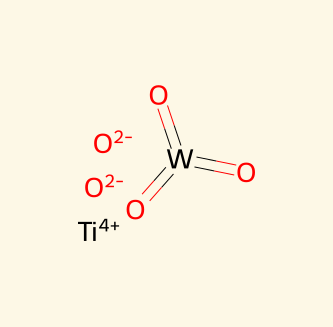 [O-2].[O-2].[O]=[W](=[O])=[O].[Ti+4]